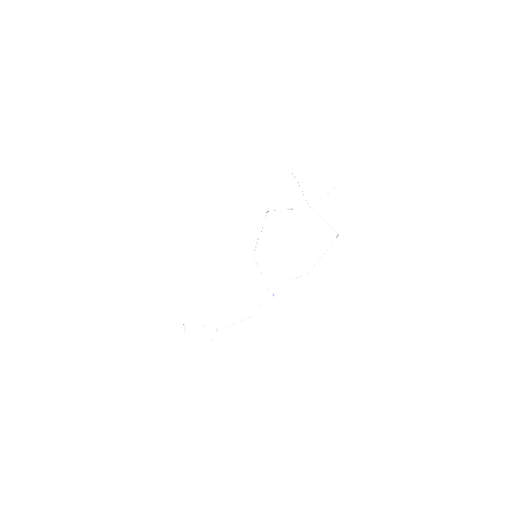 CC1(C)CCN(CC(=O)O)CC1